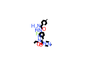 CCC(=O)N[C@H](Cc1ccc(NC(=O)[C@@H](N)[C@H]2CC[C@H](C)CC2)c(F)c1)C(=O)N1CCN(C)CC1